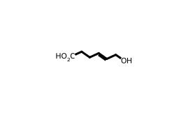 O=C(O)CC/C=C/CO